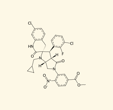 COC(=O)c1ccc([N+](=O)[O-])c(N2C[C@H]3[C@@H](C2=O)[C@H](c2cccc(Cl)c2F)[C@@]2(Cc4ccc(Cl)cc4NC2=O)N3CC2CC2)c1